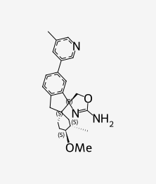 CO[C@H]1CC[C@@]2(Cc3ccc(-c4cncc(C)c4)cc3[C@@]23COC(N)=N3)C[C@@H]1C